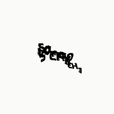 CCOC(=O)c1ccc(/C=C(\C)c2ccc3c(c2)SCCCS3)cc1